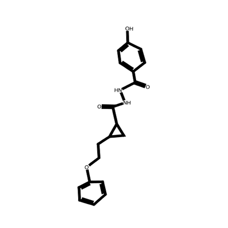 O=C(NNC(=O)C1CC1CCOc1ccccc1)c1ccc(O)cc1